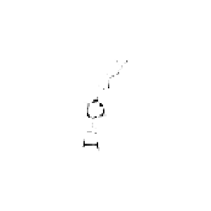 C=C1OB(c2ccc(OCCCN(C)C)cc2)OC1=C